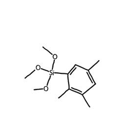 CO[Si](OC)(OC)c1cc(C)cc(C)c1C